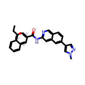 C\C=C(/C=c1/cccc/c1=C(/C)CC)C(=O)Nc1cc2cc(-c3cnn(C)c3)ccc2cn1